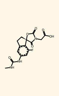 CNC(=O)Nc1cc(F)c2c(c1)CC[C@]21OC(=O)N(CC(=O)O)C1=O